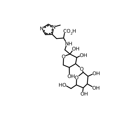 Cn1cncc1CC(NCC1(O)OCC(O)C(OC2OC(CO)C(O)C(O)C2O)C1O)C(=O)O